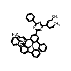 C=C/C=C(\C=C)c1cc(-c2nc(C(/C=C\C)=C/CC)nc(-c3ccccc3)n2)cc(-c2ccccc2)c1-n1c2ccccc2c2ccc3c4ccccc4oc3c21